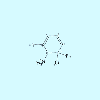 NC1C(I)=CC=CC1(F)Cl